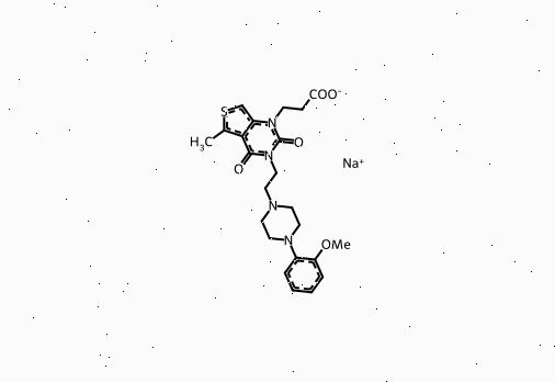 COc1ccccc1N1CCN(CCn2c(=O)c3c(C)scc3n(CCC(=O)[O-])c2=O)CC1.[Na+]